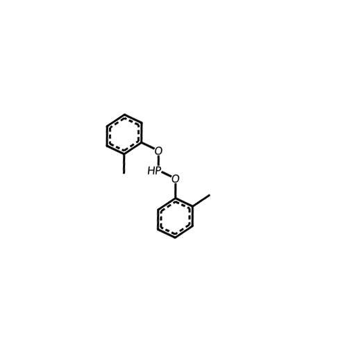 Cc1ccccc1OPOc1ccccc1C